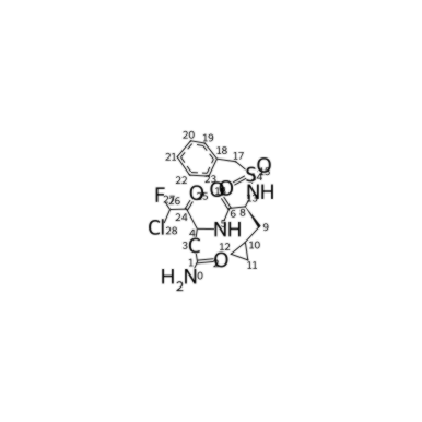 NC(=O)CC(NC(=O)[C@H](CC1CC1)NS(=O)(=O)Cc1ccccc1)C(=O)C(F)Cl